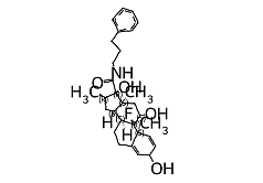 C[C@@H]1C[C@H]2[C@@H]3CCC4=CC(O)C=C[C@]4(C)[C@@]3(F)[C@@H](O)C[C@]2(C)[C@@]1(O)C(=O)NCCCc1ccccc1